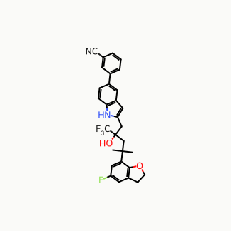 CC(C)(CC(O)(Cc1cc2cc(-c3cccc(C#N)c3)ccc2[nH]1)C(F)(F)F)c1cc(F)cc2c1OCC2